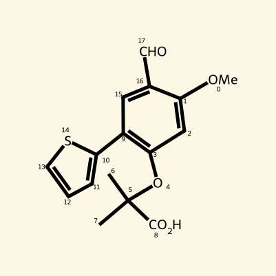 COc1cc(OC(C)(C)C(=O)O)c(-c2cccs2)cc1C=O